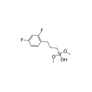 CO[Si](O)(CCCc1ccc(F)cc1F)OC